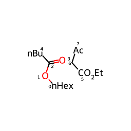 CCCCCCOC(=O)CCCC.CCOC(=O)CC(C)=O